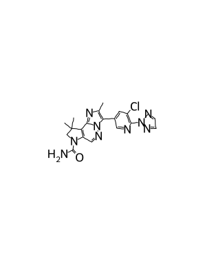 Cc1nc2c3c(cnn2c1-c1cnc(-n2nccn2)c(Cl)c1)N(C(N)=O)CC3(C)C